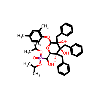 Cc1ccc(OC2O[C@H](C(O)P(=O)(OC(C)C)OC(C)C)[C@](O)(Cc3ccccc3)[C@@](O)(Cc3ccccc3)[C@@]2(O)Cc2ccccc2)c(C)c1